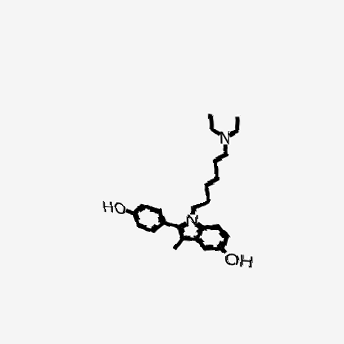 CCN(CC)CCCCCCn1c(-c2ccc(O)cc2)c(C)c2cc(O)ccc21